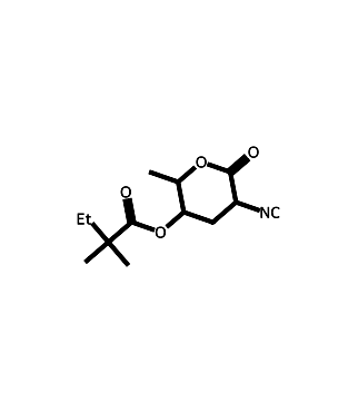 [C-]#[N+]C1CC(OC(=O)C(C)(C)CC)C(C)OC1=O